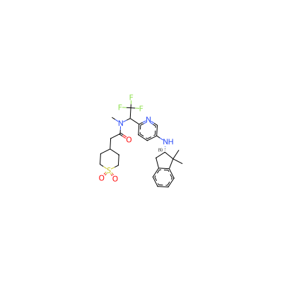 CN(C(=O)CC1CCS(=O)(=O)CC1)C(c1ccc(N[C@H]2Cc3ccccc3C2(C)C)cn1)C(F)(F)F